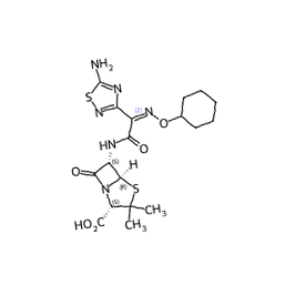 CC1(C)S[C@@H]2[C@@H](NC(=O)/C(=N\OC3CCCCC3)c3nsc(N)n3)C(=O)N2[C@H]1C(=O)O